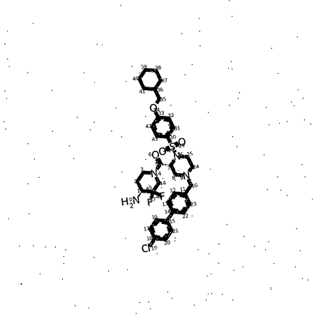 N[C@@H]1CCN(C(=O)[C@H]2CN(Cc3ccc(-c4ccc(Cl)cc4)cc3)CCN2S(=O)(=O)c2ccc(OCC3CCCCC3)cc2)CC1(F)F